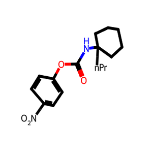 CCCC1(NC(=O)Oc2ccc([N+](=O)[O-])cc2)CCCCC1